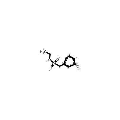 CCOS(=O)(=O)Cc1cccc(Cl)c1